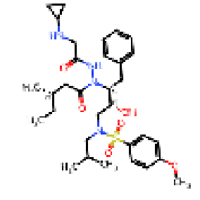 CC[C@H](C)CC(=O)N(NC(=O)CNC1CC1)[C@@H](Cc1ccccc1)[C@H](O)CN(CC(C)C)S(=O)(=O)c1ccc(OC)cc1